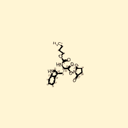 CCCCOC(=O)N[C@@H](Cc1c[nH]c2ccccc12)C(=O)ON1C(=O)CCC1=O